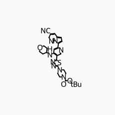 CC(C)(C)OC(=O)N1CCN(c2nnc(-c3cnc(-c4ccc5cc(C#N)cnn45)cc3NC3CCOCC3)s2)CC1